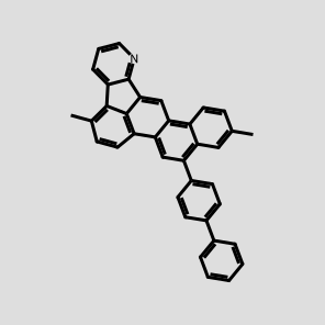 Cc1ccc2c(c1)c(-c1ccc(-c3ccccc3)cc1)cc1c3ccc(C)c4c3c(cc21)-c1ncccc1-4